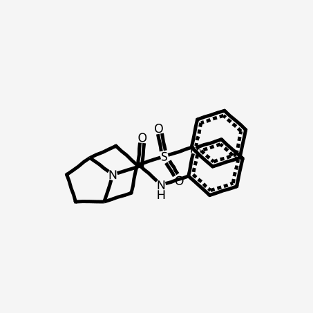 O=C(Nc1ccccn1)N1C2CCC1CC(S(=O)(=O)c1ccccc1)C2